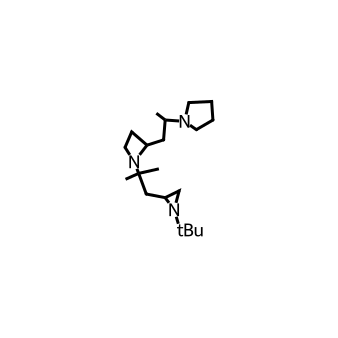 CC(CC1CCN1C(C)(C)CC1CN1C(C)(C)C)N1CCCC1